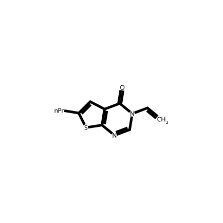 C=Cn1cnc2sc(CCC)cc2c1=O